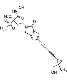 C[C@]1(CO)C[C@@H]1C#CC#Cc1cc2n(c1)C(=O)N(CC[C@](C)(C(=O)NO)S(C)(=O)=O)C2